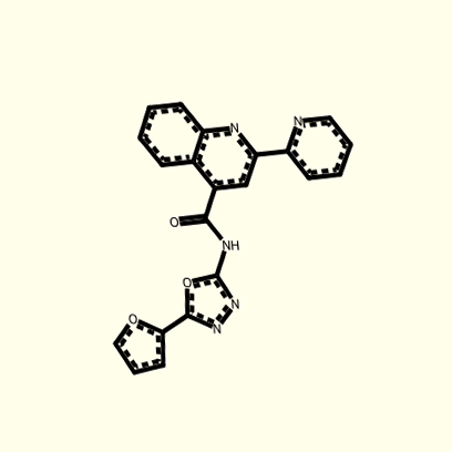 O=C(Nc1nnc(-c2ccco2)o1)c1cc(-c2ccccn2)nc2ccccc12